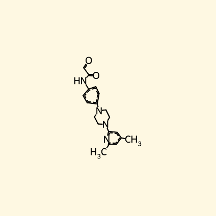 Cc1cc(C)nc(N2CCN(c3ccc(NC(=O)C=O)cc3)CC2)c1